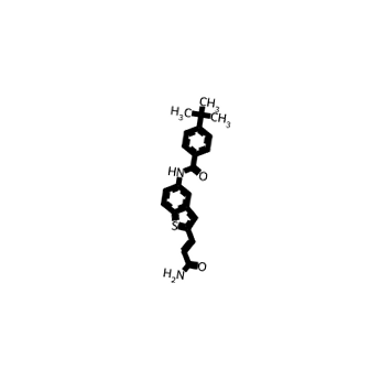 CC(C)(C)c1ccc(C(=O)Nc2ccc3sc(/C=C/C(N)=O)cc3c2)cc1